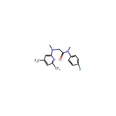 CN(CC(=O)N(C)c1ccc(F)cc1)c1cc(C(F)(F)F)cc(C(F)(F)F)n1